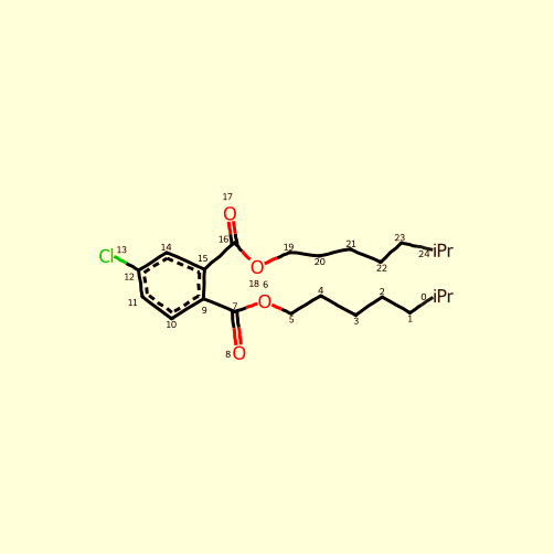 CC(C)CCCCCOC(=O)c1ccc(Cl)cc1C(=O)OCCCCCC(C)C